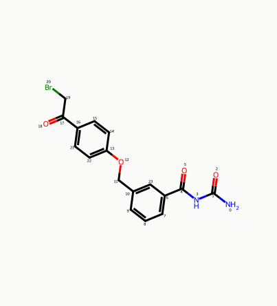 NC(=O)NC(=O)c1cccc(COc2ccc(C(=O)CBr)cc2)c1